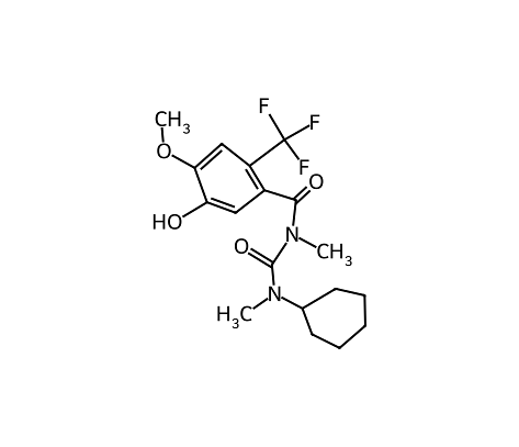 COc1cc(C(F)(F)F)c(C(=O)N(C)C(=O)N(C)C2CCCCC2)cc1O